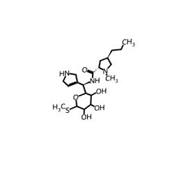 CCC[C@@H]1C[C@@H](C(=O)N[C@H](C2=CCNC2)C2OC(SC)C(O)C(O)C2O)N(C)C1